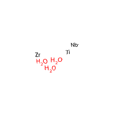 O.O.O.[Nb].[Ti].[Zr]